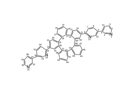 c1cncc(-c2ccc(-c3ccc4c5ccccc5c5ccc(-c6ccc(-c7cccnc7)cn6)cc5c5ccccc5c5ccccc5c4c3)nc2)c1